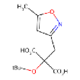 Cc1cc(CC(OC(C)(C)C)(C(=O)O)C(=O)O)no1